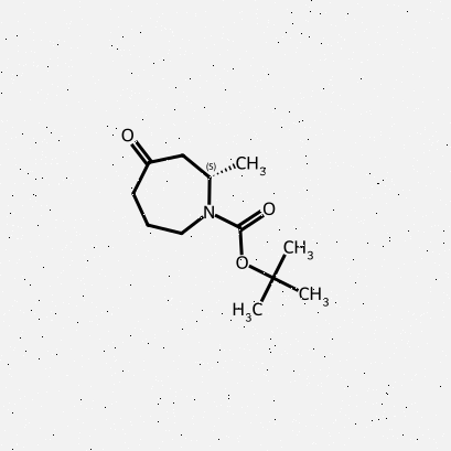 C[C@H]1CC(=O)CCCN1C(=O)OC(C)(C)C